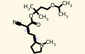 CC(C)OCCC(C)(C)OC(=O)/C(C#N)=C\C=C1/CCCN1C